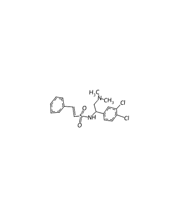 CN(C)CC(NS(=O)(=O)/C=C/c1ccccc1)c1ccc(Cl)c(Cl)c1